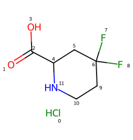 Cl.O=C(O)C1CC(F)(F)CCN1